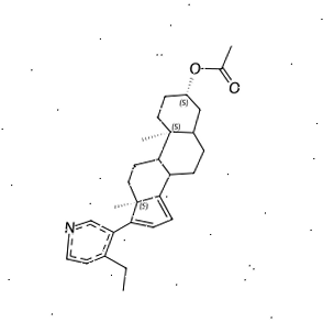 CCc1ccncc1C1=CC=C2C3CCC4C[C@@H](OC(C)=O)CC[C@]4(C)C3CC[C@]12C